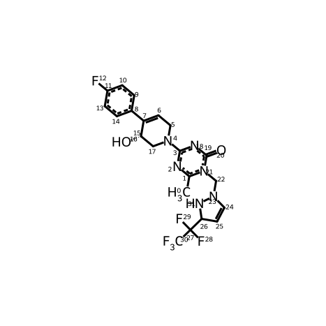 Cc1nc(N2CC=C(c3ccc(F)cc3)[C@@H](O)C2)nc(=O)n1CN1C=CC(C(F)(F)C(F)(F)F)N1